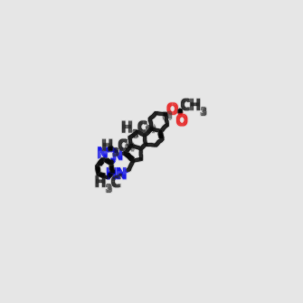 CNCC1=C(n2cnc3ccccc32)[C@@]2(C)CCC3C(CC=C4C[C@@H](OC(C)=O)CC[C@@]43C)C2C1